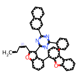 C=C/C=C\c1oc2cccc(-c3cccc4c3oc3ccccc34)c2c1-c1nc(-c2ccccc2)nc(-c2ccc3ccccc3c2)n1